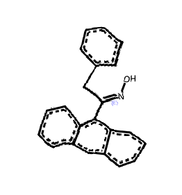 O/N=C(\Cc1ccccc1)c1c2ccccc2cc2ccccc12